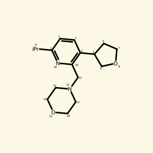 CC(C)c1ccc(C2CCOC2)c(CN2CCOCC2)n1